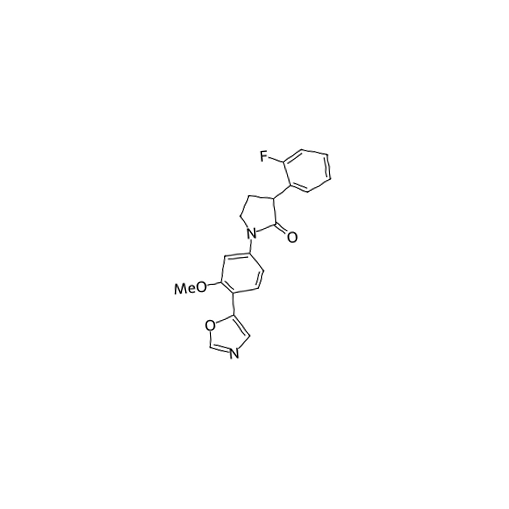 COc1cc(N2CCC(c3ccccc3F)C2=O)ccc1-c1cnco1